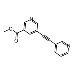 COC(=O)c1cncc(C#Cc2cccnc2)c1